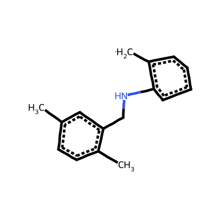 [CH2]c1ccccc1NCc1cc(C)ccc1C